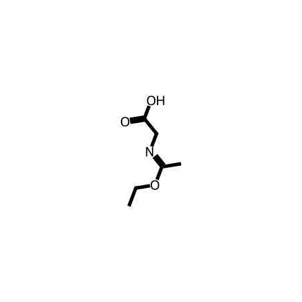 CCOC(C)=NCC(=O)O